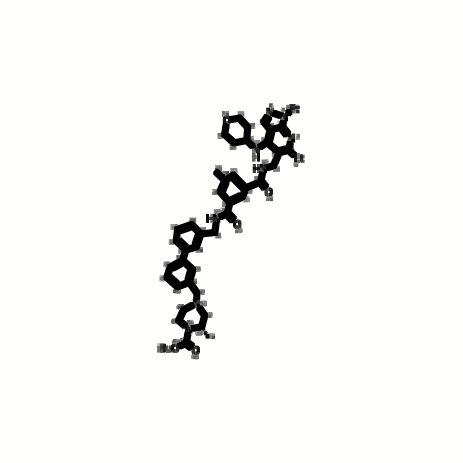 CCc1nc2c(cnn2CC)c(NC2CCOCC2)c1CNC(=O)c1cc(C)cc(C(=O)NCc2cccc(-c3cccc(CN4CCN(C(=O)OCC(C)C)[C@@H](C)C4)c3)c2)c1